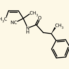 C/C=C\C(C)(C#N)NC(=O)C[C@@H](C)c1ccccc1